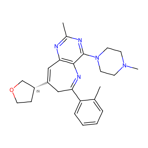 Cc1nc2c(c(N3CCN(C)CC3)n1)N=C(c1ccccc1C)CC([C@@H]1CCOC1)=C2